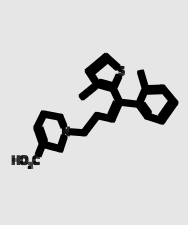 Cc1ccccc1C(=CCCN1CCC=C(C(=O)O)C1)c1sccc1C